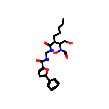 CCCCCC(C(=O)NCNC(=O)c1ccc(-c2ccccc2)o1)C(CO)N(O)C=O